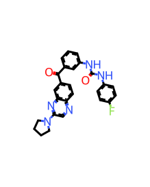 O=C(Nc1ccc(F)cc1)Nc1cccc(C(=O)c2ccc3ncc(N4CCCC4)nc3c2)c1